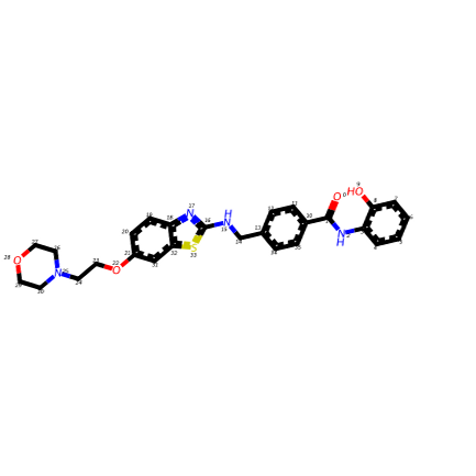 O=C(Nc1ccccc1O)c1ccc(CNc2nc3ccc(OCCN4CCOCC4)cc3s2)cc1